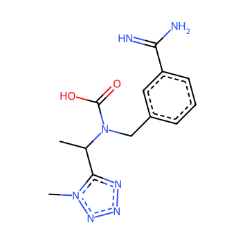 CC(c1nnnn1C)N(Cc1cccc(C(=N)N)c1)C(=O)O